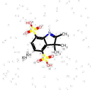 CC1=Nc2c(S(=O)(=O)O)ccc(S(=O)(=O)O)c2C1(C)C.[KH].[KH]